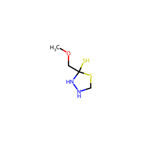 COCC1(S)NNCS1